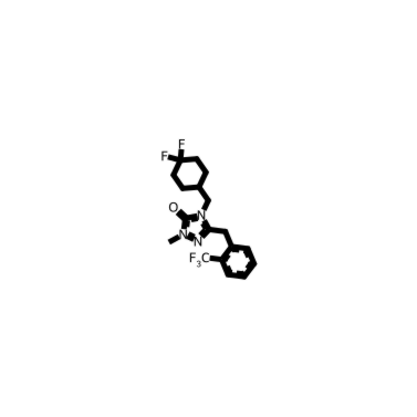 Cn1nc(Cc2ccccc2C(F)(F)F)n(CC2CCC(F)(F)CC2)c1=O